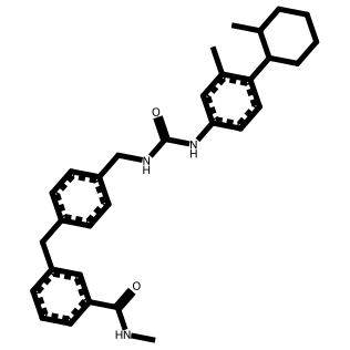 CNC(=O)c1cccc(Cc2ccc(CNC(=O)Nc3ccc(C4CCCCC4C)c(C)c3)cc2)c1